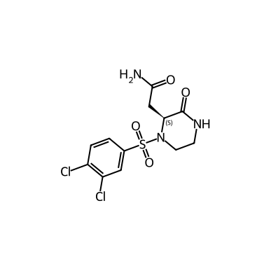 NC(=O)C[C@H]1C(=O)NCCN1S(=O)(=O)c1ccc(Cl)c(Cl)c1